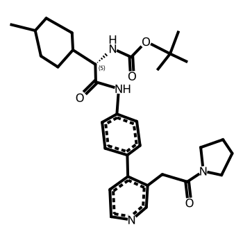 CC1CCC([C@H](NC(=O)OC(C)(C)C)C(=O)Nc2ccc(-c3ccncc3CC(=O)N3CCCC3)cc2)CC1